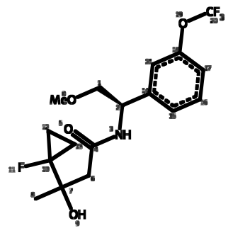 COC[C@H](NC(=O)CC(C)(O)C1(F)CC1)c1cccc(OC(F)(F)F)c1